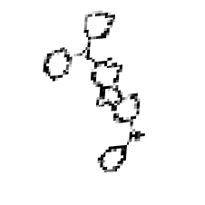 c1ccc(Nc2ccc3c(c2)oc2cc(N(c4ccccc4)c4ccccc4)ccc23)cc1